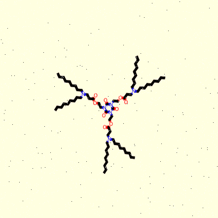 CCCCCCCCCN(CCCCCCCCC)CCC(=O)OCCn1c(=O)n(CCOC(=O)CCN(CCCCCCCCC)CCCCCCCCC)c(=O)n(CCOC(=O)CCN(CCCCCCCCC)CCCCCCCCC)c1=O